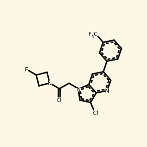 O=C(Cn1cc(Cl)c2ncc(-c3cccc(C(F)(F)F)c3)cc21)N1CC(F)C1